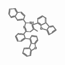 CC1=C(c2cccc3c2oc2ccccc23)NC(c2ccc3ccccc3c2)N=C(c2ccccc2-c2cccc3oc4ccccc4c23)C1